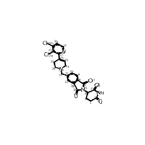 O=C1CCC(N2C(=O)c3ccc(CN4CC=C(c5nccc(Cl)c5Cl)CC4)cc3C2=O)C(=O)N1